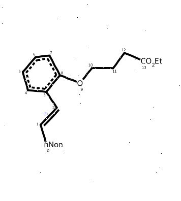 CCCCCCCCC/C=C/c1ccccc1OCCCC(=O)OCC